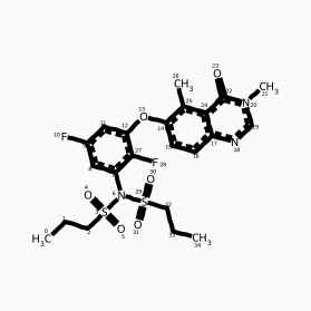 CCCS(=O)(=O)N(c1cc(F)cc(Oc2ccc3ncn(C)c(=O)c3c2C)c1F)S(=O)(=O)CCC